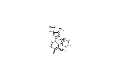 COC(=O)C1(COc2ccc(F)c(N)c2C2(N)CCCCC2)CCC1